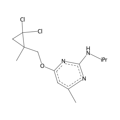 Cc1cc(OCC2(C)CC2(Cl)Cl)nc(NC(C)C)n1